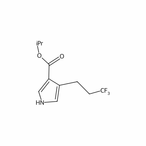 CC(C)OC(=O)c1c[nH]cc1CCC(F)(F)F